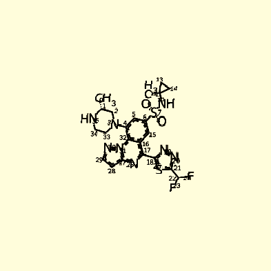 C[C@@H]1CN(c2cc(S(=O)(=O)NC3(C)CC3)cc3c(-c4nnc(C(F)F)s4)nc4ccnn4c23)CCN1